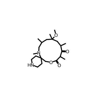 COC1(C)CC(C)CN(C)C2(CCNCC2)COC(=O)C(C)C(=O)C(C)C1